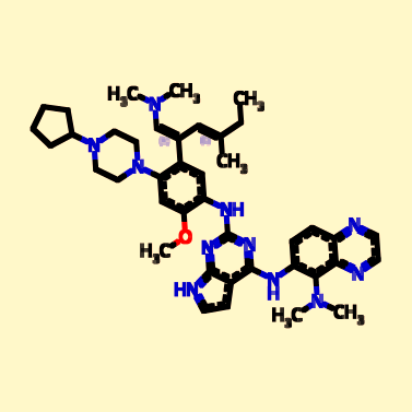 CC/C(C)=C/C(=C\N(C)C)c1cc(Nc2nc(Nc3ccc4nccnc4c3N(C)C)c3cc[nH]c3n2)c(OC)cc1N1CCN(C2CCCC2)CC1